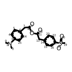 CN(C)c1ccc(CC(=O)OC(=O)Cc2ccc(S(C)(=O)=O)cc2)cc1